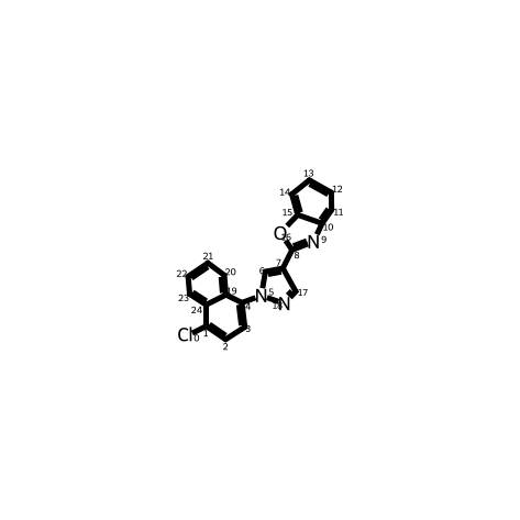 Clc1ccc(-n2cc(-c3nc4ccccc4o3)cn2)c2ccccc12